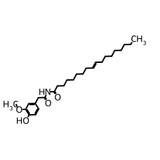 CCCCCCCCC=CCCCCCCCC(=O)NC(=O)Cc1ccc(O)c(OC)c1